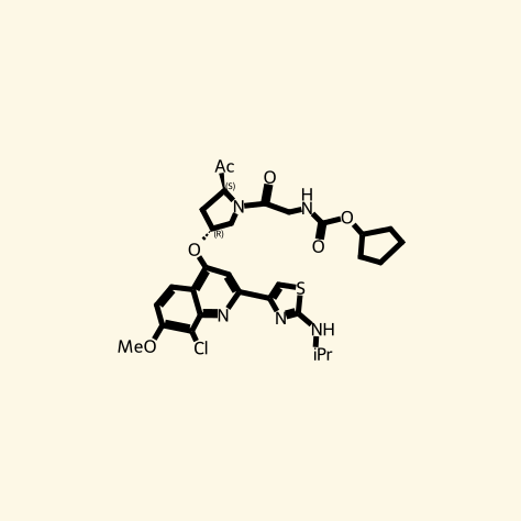 COc1ccc2c(O[C@@H]3C[C@@H](C(C)=O)N(C(=O)CNC(=O)OC4CCCC4)C3)cc(-c3csc(NC(C)C)n3)nc2c1Cl